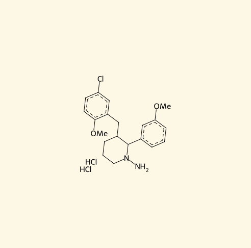 COc1cccc(C2C(Cc3cc(Cl)ccc3OC)CCCN2N)c1.Cl.Cl